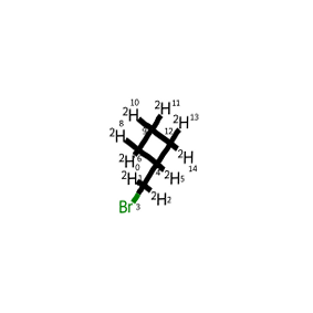 [2H]C([2H])(Br)C1([2H])C([2H])([2H])C([2H])([2H])C1([2H])[2H]